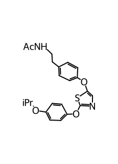 CC(=O)NCCc1ccc(Oc2cnc(Oc3ccc(OC(C)C)cc3)s2)cc1